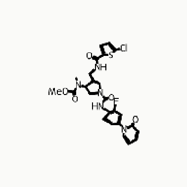 COC(=O)N(C)C1CN(C(=O)Nc2ccc(-n3ccccc3=O)cc2F)CC1CNC(=O)c1ccc(Cl)s1